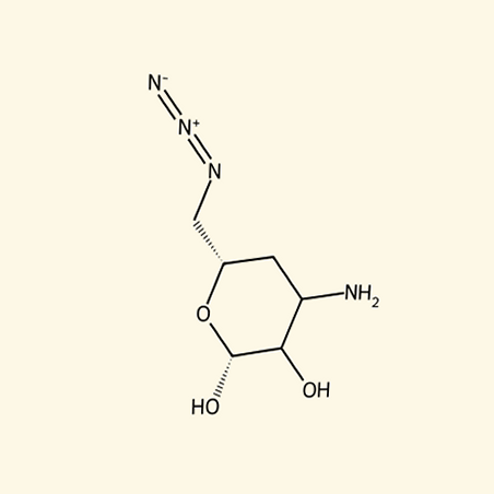 [N-]=[N+]=NC[C@@H]1CC(N)C(O)[C@H](O)O1